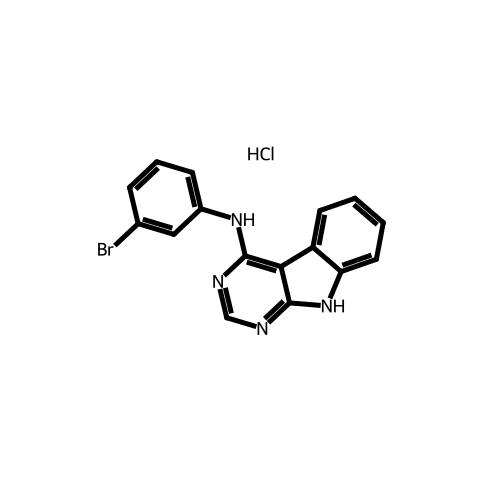 Brc1cccc(Nc2ncnc3[nH]c4ccccc4c23)c1.Cl